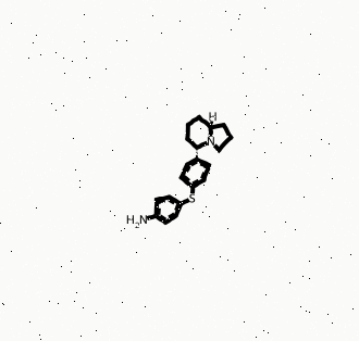 Nc1ccc(Sc2ccc([C@@H]3CCC[C@@H]4CCCN43)cc2)cc1